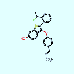 CC(F)c1ccccc1-c1sc2cc(O)ccc2c1Oc1ccc(C=CC(=O)O)cc1